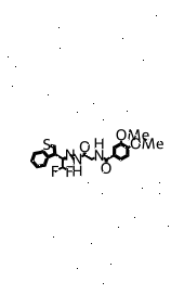 COc1ccc(C(=O)NCC(=O)N/N=C(/c2csc3ccccc23)C(F)F)cc1OC